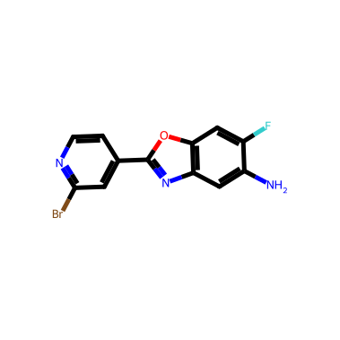 Nc1cc2nc(-c3ccnc(Br)c3)oc2cc1F